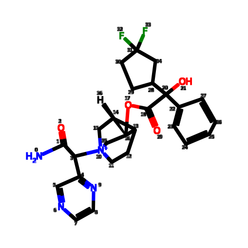 NC(=O)C(c1cnccn1)[N+]12CCC(CC1)[C@@H](OC(=O)C(O)(c1ccccc1)C1CCC(F)(F)C1)C2